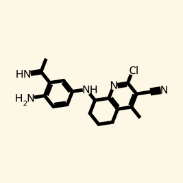 CC(=N)c1cc(NC2CCCc3c2nc(Cl)c(C#N)c3C)ccc1N